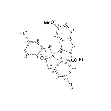 CCOC(=O)C1Cc2ccc(OC)cc2N1C1(Cc2cccc(Cl)c2)C(=O)Nc2cc(Cl)ccc21